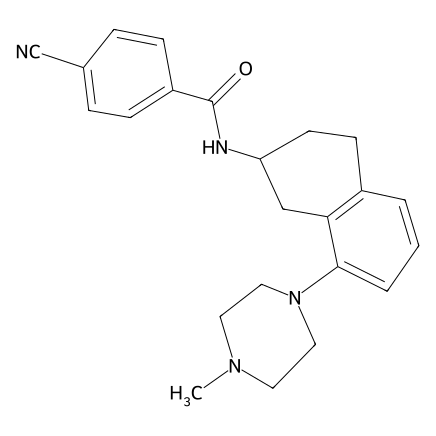 CN1CCN(c2cccc3c2CC(NC(=O)c2ccc(C#N)cc2)CC3)CC1